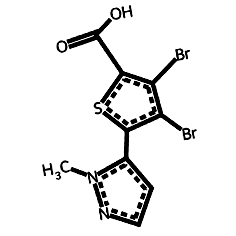 Cn1nccc1-c1sc(C(=O)O)c(Br)c1Br